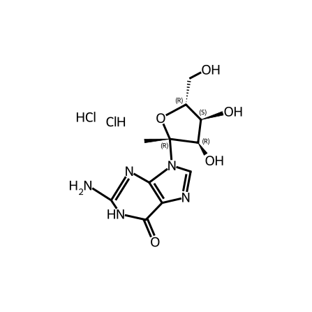 C[C@@]1(n2cnc3c(=O)[nH]c(N)nc32)O[C@H](CO)[C@@H](O)[C@H]1O.Cl.Cl